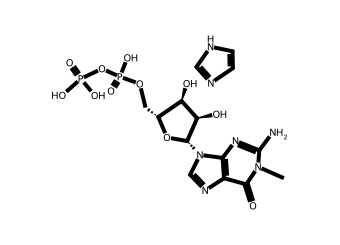 Cn1c(N)nc2c(ncn2[C@@H]2O[C@H](COP(=O)(O)OP(=O)(O)O)[C@@H](O)[C@H]2O)c1=O.c1c[nH]cn1